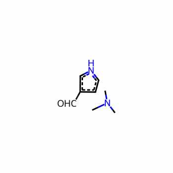 CN(C)C.O=Cc1cc[nH]c1